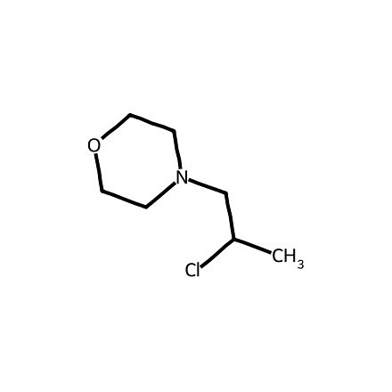 CC(Cl)CN1CCOCC1